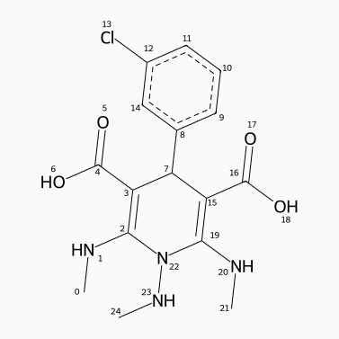 CNC1=C(C(=O)O)C(c2cccc(Cl)c2)C(C(=O)O)=C(NC)N1NC